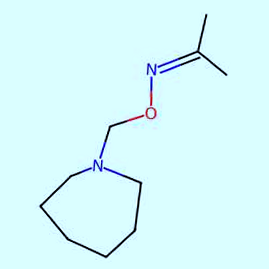 CC(C)=NOCN1CCCCCC1